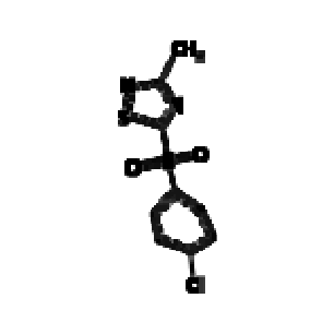 Cc1nsc(S(=O)(=O)c2ccc(Cl)cc2)n1